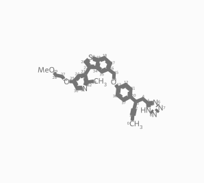 CC#CC(Cc1nnn[nH]1)c1ccc(OCc2ccc3scc(-c4cc(OCCOC)cnc4C)c3c2)cc1